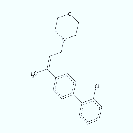 C/C(=C/CN1CCOCC1)c1ccc(-c2ccccc2Cl)cc1